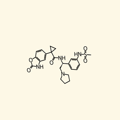 CS(=O)(=O)Nc1cccc([C@@H](CN2CCCC2)NC(=O)C2(c3ccc4oc(=O)[nH]c4c3)CC2)c1